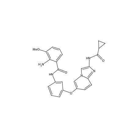 COc1cccc(C(=O)Nc2cccc(Oc3ccc4nc(NC(=O)C5CC5)cn4c3)c2)c1N